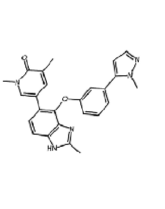 Cc1nc2c(Oc3cccc(-c4ccnn4C)c3)c(-c3cc(C)c(=O)n(C)c3)ccc2[nH]1